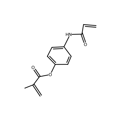 C=CC(=O)Nc1ccc(OC(=O)C(=C)C)cc1